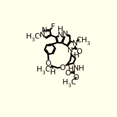 COC(=O)N[C@H]1C[C@H]2C[C@H]1OC[C@H](C)Oc1ccc(cc1)-c1c(-c3cn(C)nc3F)[nH]c3ncc4c(c13)n2c(=O)n4C